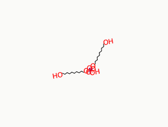 O=P(O)(OOCCCCCCCCCCO)OOCCCCCCCCCCO